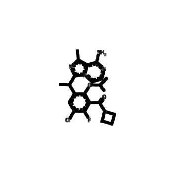 Cc1nc(C(C)c2cc(Cl)c(F)c(C(=O)C3CCC3)c2OC(C)C)n2ccnc(N)c12